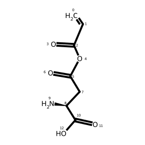 C=CC(=O)OC(=O)C[C@H](N)C(=O)O